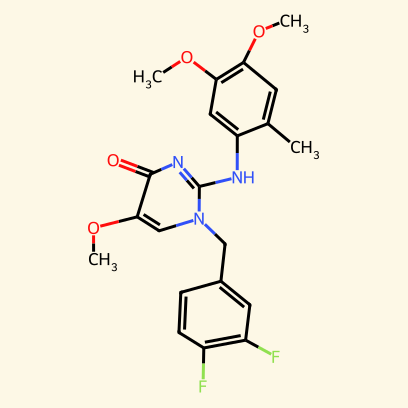 COc1cc(C)c(Nc2nc(=O)c(OC)cn2Cc2ccc(F)c(F)c2)cc1OC